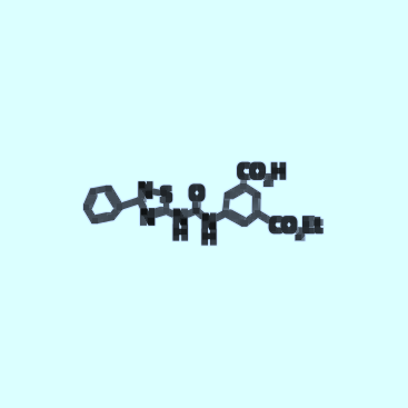 CCOC(=O)c1cc(NC(=O)Nc2nc(-c3ccccc3)ns2)cc(C(=O)O)c1